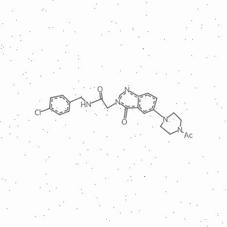 CC(=O)N1CCN(c2ccc3ncn(CC(=O)NCc4ccc(Cl)cc4)c(=O)c3c2)CC1